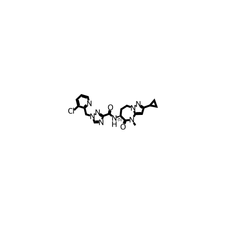 CN1C(=O)[C@@H](NC(=O)c2ncn(Cc3ncccc3Cl)n2)CCn2nc(C3CC3)cc21